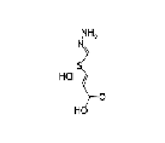 Cl.NN=CSC=CC(=O)O